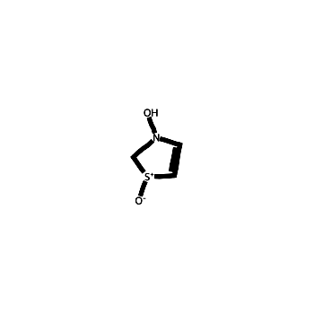 [O-][S+]1C=CN(O)C1